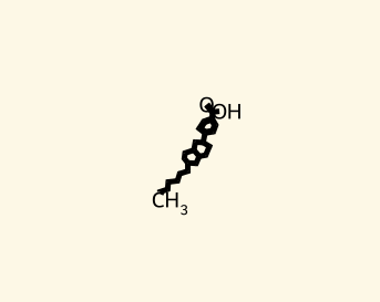 CCCCCCCC1CCC2CC(c3ccc(C(=O)O)cc3)CCC2C1